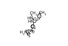 CCCNC(=O)NC(CCCN1CCN(C)CC1)c1ccc(C(=O)Nc2cscc2N)nc1